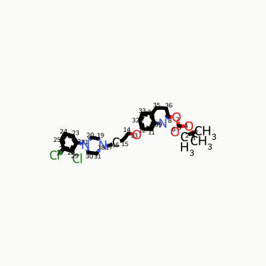 CC(C)(C)OC(=O)OC1=Nc2cc(OCCCCN3CCN(c4cccc(Cl)c4Cl)CC3)ccc2CC1